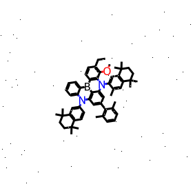 CCc1ccc2c(c1OC)N(c1cc3c(cc1C)C(C)(C)CCC3(C)C)c1cc(-c3c(C)cccc3C)cc3c1B2c1ccccc1N3c1ccc2c(c1)C(C)(C)CCC2(C)C